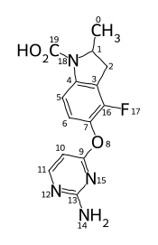 CC1Cc2c(ccc(Oc3ccnc(N)n3)c2F)N1C(=O)O